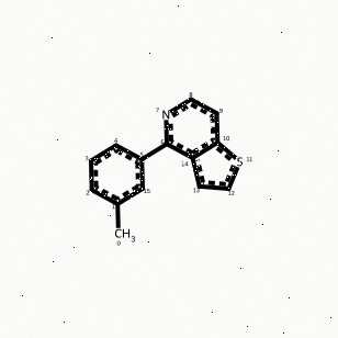 Cc1cccc(-c2nccc3sccc23)c1